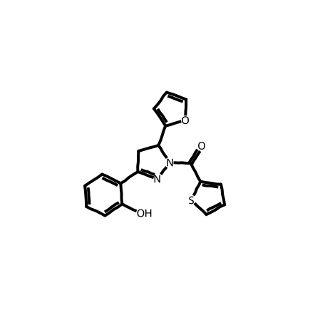 O=C(c1cccs1)N1N=C(c2ccccc2O)CC1c1ccco1